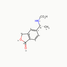 C[C@@H](NC(=O)O)c1ccc2c(c1)COC2=O